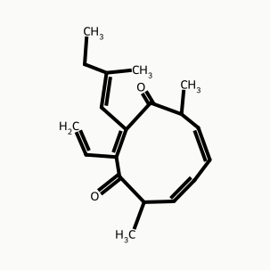 C=C/C1=C(\C=C(/C)CC)C(=O)C(C)/C=C\C=C/C(C)C1=O